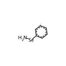 N[Se]c1c[c]ccc1